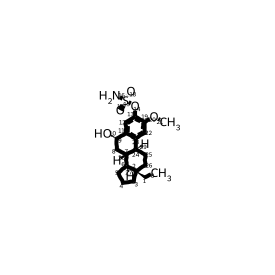 CC[C@@]12CCC[C@H]1[C@@H]1C[C@H](O)c3cc(OS(N)(=O)=O)c(OC)cc3[C@H]1CC2